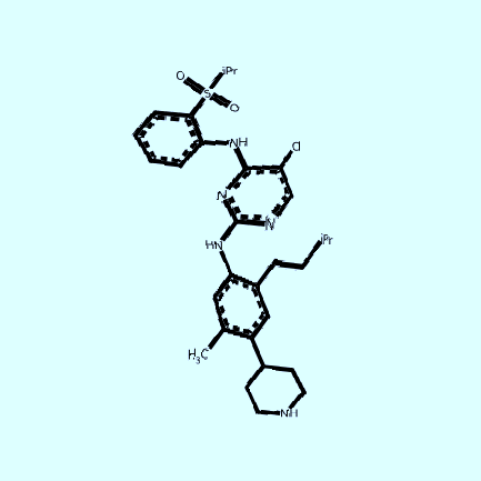 Cc1cc(Nc2ncc(Cl)c(Nc3ccccc3S(=O)(=O)C(C)C)n2)c(CCC(C)C)cc1C1CCNCC1